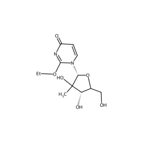 CCOc1nc(=O)ccn1[C@@H]1OC(CO)[C@H](O)C1(C)O